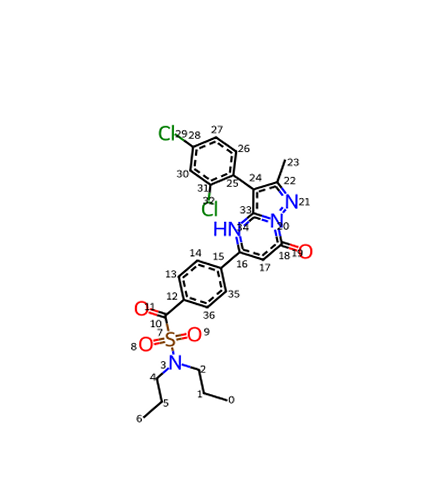 CCCN(CCC)S(=O)(=O)C(=O)c1ccc(-c2cc(=O)n3nc(C)c(-c4ccc(Cl)cc4Cl)c3[nH]2)cc1